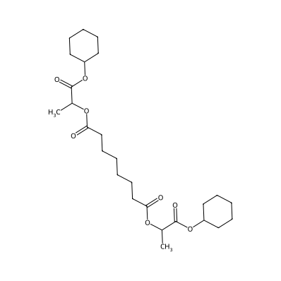 CC(OC(=O)CCCCCCC(=O)OC(C)C(=O)OC1CCCCC1)C(=O)OC1CCCCC1